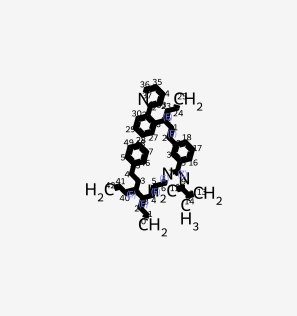 C=C/C=C(\C=C\C=N\C(=N/C(=C)C(=C)C)c1cccc(/C=C/C(=C\C=C)c2ccccc2-c2ccccn2)c1)C(=C/C=C)/CCc1ccccc1